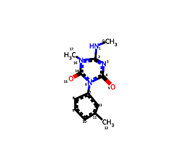 CNc1nc(=O)n(-c2cccc(C)c2)c(=O)n1C